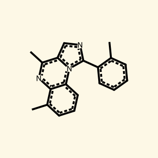 Cc1ccccc1-c1ncc2c(C)nc3c(C)cccc3n12